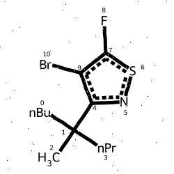 CCCCC(C)(CCC)c1nsc(F)c1Br